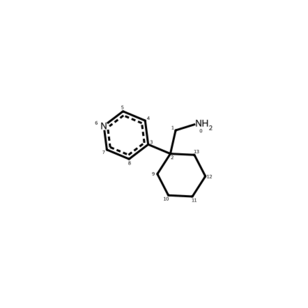 NCC1(c2ccncc2)CCCCC1